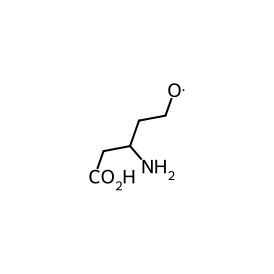 NC(CC[O])CC(=O)O